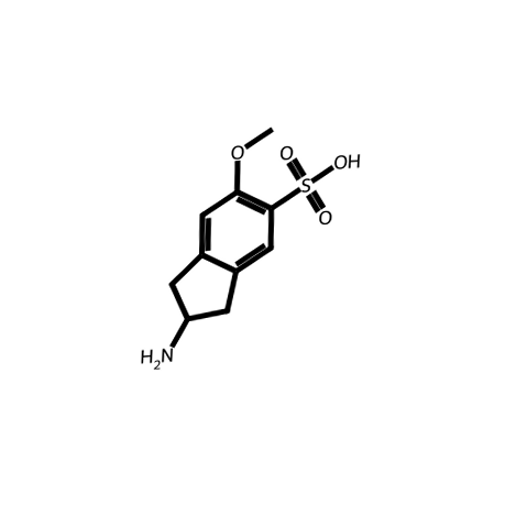 COc1cc2c(cc1S(=O)(=O)O)CC(N)C2